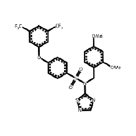 COc1ccc(CN(c2ncns2)S(=O)(=O)c2ccc(Oc3cc(C(F)(F)F)cc(C(F)(F)F)c3)cc2)c(OC)c1